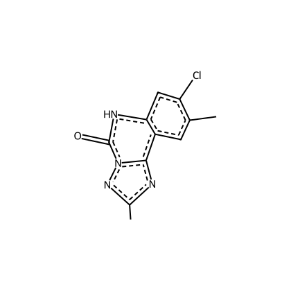 Cc1nc2c3cc(C)c(Cl)cc3[nH]c(=O)n2n1